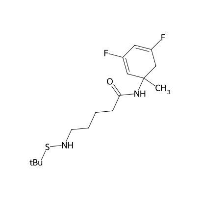 CC1(NC(=O)CCCCNSC(C)(C)C)C=C(F)C=C(F)C1